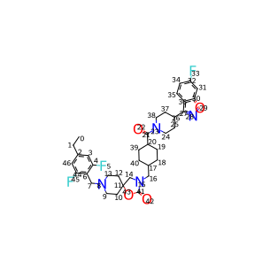 CCc1cc(F)c(CN2CCC3(CC2)CN(CC2CCC(C(=O)N4CCC(c5noc6cc(F)ccc56)CC4)CC2)C(=O)O3)c(F)c1